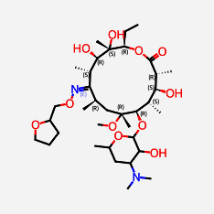 CC[C@H]1OC(=O)[C@H](C)[C@@H](O)[C@H](C)[C@@H](OC2OC(C)CC(N(C)C)C2O)[C@](C)(OC)C[C@@H](C)/C(=N\OCC2CCCO2)[C@H](C)[C@@H](O)[C@]1(C)O